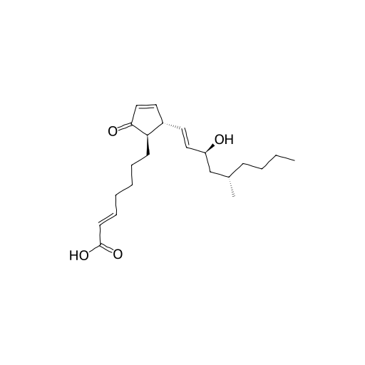 CCCC[C@H](C)C[C@H](O)/C=C/[C@H]1C=CC(=O)[C@@H]1CCCC/C=C/C(=O)O